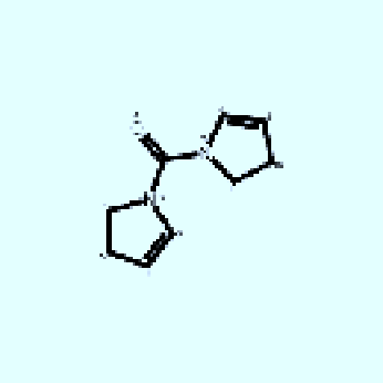 O=C(N1C=CCC1)N1C=CCC1